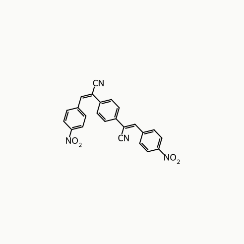 N#CC(=Cc1ccc([N+](=O)[O-])cc1)c1ccc(C(C#N)=Cc2ccc([N+](=O)[O-])cc2)cc1